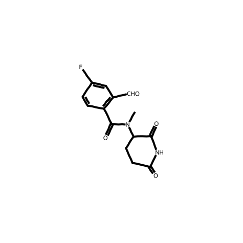 CN(C(=O)c1ccc(F)cc1C=O)C1CCC(=O)NC1=O